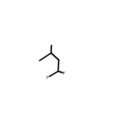 CC(C)[CH]C(F)F